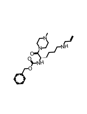 C=CCNCCCC[C@H](NC(=O)OCc1ccccc1)C(=O)N1CCN(C)CC1